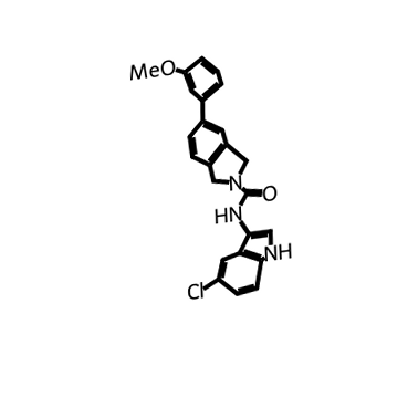 COc1cccc(-c2ccc3c(c2)CN(C(=O)Nc2c[nH]c4ccc(Cl)cc24)C3)c1